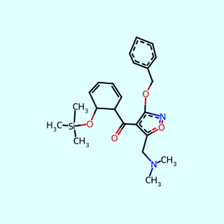 CN(C)Cc1onc(OCc2ccccc2)c1C(=O)C1C=CC=CC1O[Si](C)(C)C